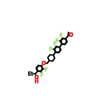 CCC(O)c1ccc(OCC2CCC(c3ccc(-c4ccc(C5CO5)c(F)c4F)c(F)c3F)CC2)c(F)c1F